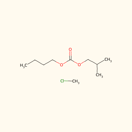 CCCCOC(=O)OCC(C)C.CCl